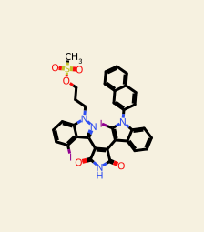 CS(=O)(=O)OCCCn1nc(C2=C(c3c(I)n(-c4ccc5ccccc5c4)c4ccccc34)C(=O)NC2=O)c2c(I)cccc21